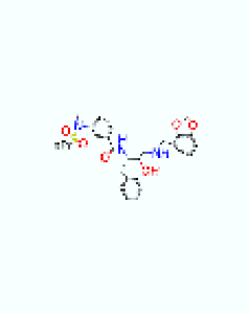 CCCS(=O)(=O)N(C)c1cccc(C(=O)N[C@@H](Cc2ccccc2)[C@H](O)CNCc2cccc3c2OCO3)c1